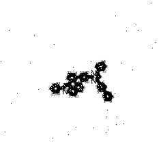 c1ccc(-c2ccc(-c3cc(-c4ccccc4)nc(-c4ccc(-c5cccc(-c6cc(-c7ccccc7)nc7ccc8ccccc8c67)c5)cc4)n3)cc2)cc1